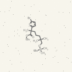 CC(C)(CCCC(C)(C(=O)OC(C)(C)C)c1ccc(Br)s1)CO[Si](C)(C)C(C)(C)C